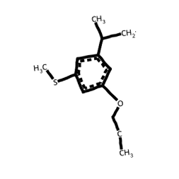 [CH2]C(C)c1cc(OCCC)cc(SC)c1